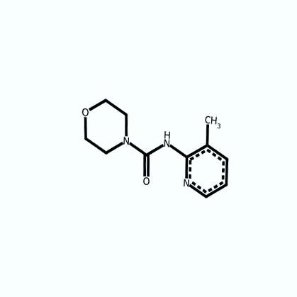 Cc1cccnc1NC(=O)N1CCOCC1